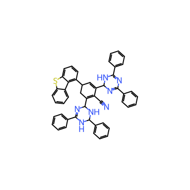 N#CC1=C(C2N=C(c3ccccc3)NC(c3ccccc3)N2)CC(c2cccc3sc4ccccc4c23)C=C1C1N=C(c2ccccc2)N=C(c2ccccc2)N1